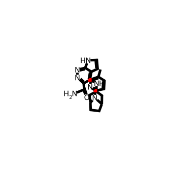 Cc1ccc(N2C3CCC2CC(Nc2c(C(N)=O)nnc4[nH]ccc24)C3)nc1